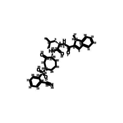 CC(C)C[C@H](NC(=O)c1cc2ccccc2n1C)C(=O)N[C@@H]1CCCN(S(=O)(=O)c2ccccc2C#N)CC1=O